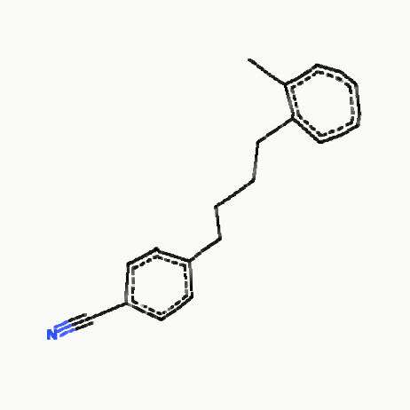 Cc1ccccc1CCCCc1ccc(C#N)cc1